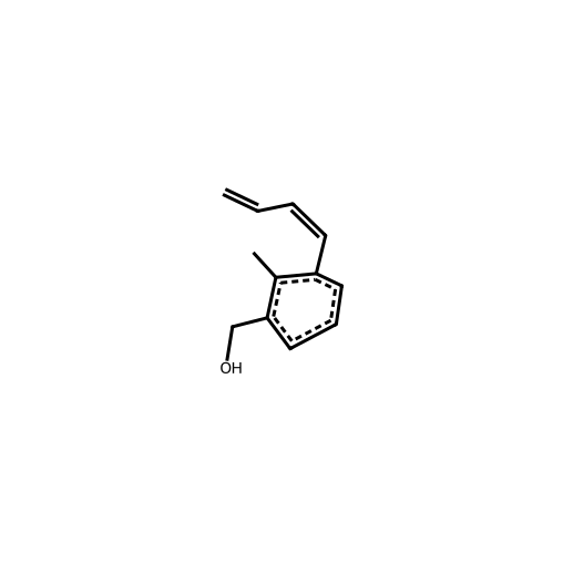 C=C/C=C\c1cccc(CO)c1C